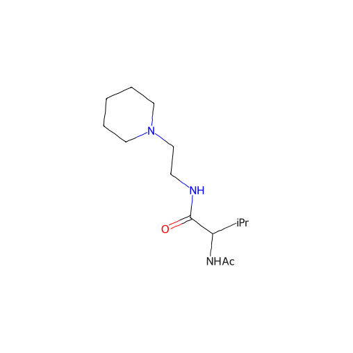 CC(=O)NC(C(=O)NCCN1CCCCC1)C(C)C